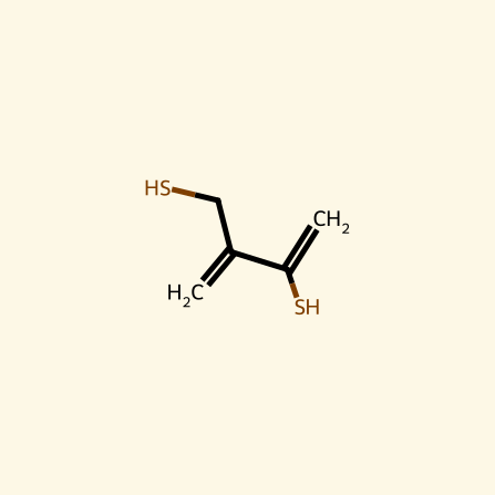 C=C(S)C(=C)CS